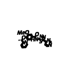 COc1cc(C(=O)Nc2nnc(-c3ccncn3)s2)ccc1O[C@@H](C)c1ccccn1